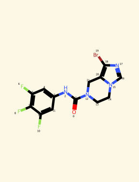 O=C(Nc1cc(F)c(F)c(F)c1)N1CCn2cnc(Br)c2C1